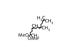 C=C(CCC=C(C)CCC=C(C)CCC=C(C)C)C(OC)OC